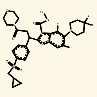 CC(C)(C)OC(=O)n1c(C(CC(=O)N2CCOCC2)c2ccc(S(=O)(=O)CC3CC3)cc2)nc2cc(Cl)c(N3CCC(F)(F)CC3)c(Cl)c21